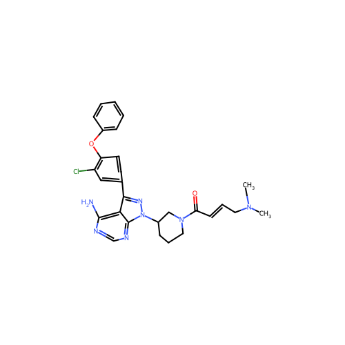 CN(C)CC=CC(=O)N1CCCC(n2nc(-c3ccc(Oc4ccccc4)c(Cl)c3)c3c(N)ncnc32)C1